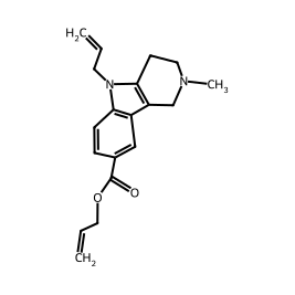 C=CCOC(=O)c1ccc2c(c1)c1c(n2CC=C)CCN(C)C1